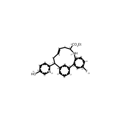 CCOC(=O)C1C/C=C/CC(c2ccc(O)cn2)c2cccc(c2)-c2cc(F)ccc2N1